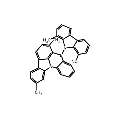 Cc1ccc2c3ccc(C)c4c3n(c2c1)-c1ccccc1B4n1c2c(C)cccc2c2cccc(C#N)c21